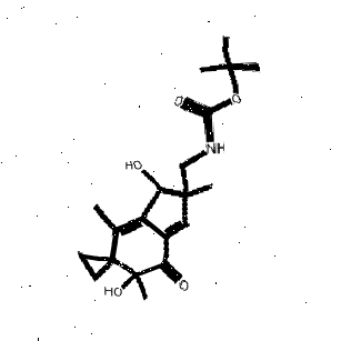 CC1=C2C(=CC(C)(CNC(=O)OC(C)(C)C)C2O)C(=O)C(C)(O)C12CC2